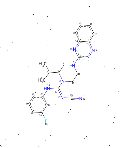 CC(C)C1CN(c2cnc3ccccc3n2)CCN1/C(=N\C#N)Nc1cccc(F)c1